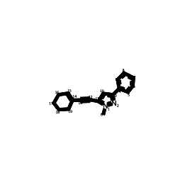 Cn1nc(-c2ccccc2)cc1C#CC1=CCCCC1